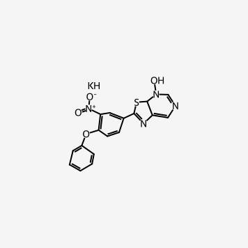 O=[N+]([O-])c1cc(C2=NC3=CN=CN(O)C3S2)ccc1Oc1ccccc1.[KH]